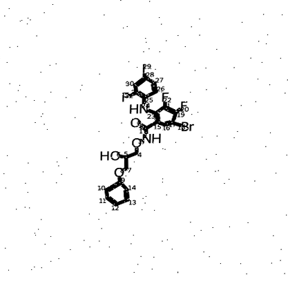 O=C(NOCC(O)COc1ccccc1)c1cc(Br)c(F)c(F)c1Nc1ccc(I)cc1F